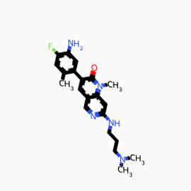 Cc1cc(F)c(N)cc1-c1cc2cnc(NCCCN(C)C)cc2n(C)c1=O